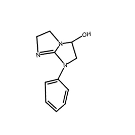 OC1CN(c2ccccc2)C2=NCCN21